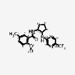 CCOc1ccc(C)cc1C(=O)NC1CCCC1Nc1cnc(C(F)(F)F)cn1